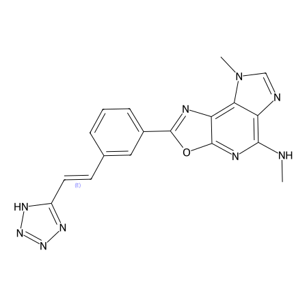 CNc1nc2oc(-c3cccc(/C=C/c4nnn[nH]4)c3)nc2c2c1ncn2C